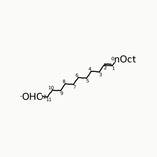 CCCCCCCC/C=C/CCCCCCCCC[C]=O